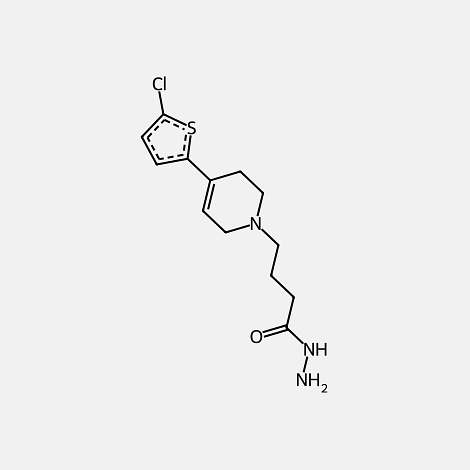 NNC(=O)CCCN1CC=C(c2ccc(Cl)s2)CC1